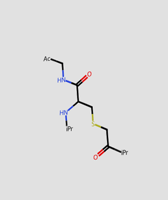 CC(=O)CNC(=O)C(CSCC(=O)C(C)C)NC(C)C